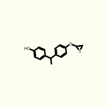 CC(c1ccc(O)cc1)c1ccc(OC2CS2)cc1